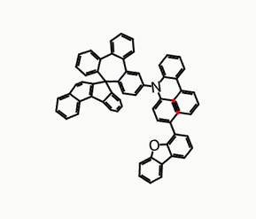 c1ccc(-c2ccccc2N(c2ccc(-c3cccc4c3oc3ccccc34)cc2)c2ccc3c(c2)-c2ccccc2-c2ccccc2C32c3ccccc3-c3c2ccc2ccccc32)cc1